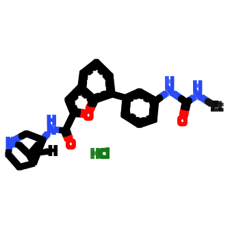 CCNC(=O)Nc1cccc(-c2cccc3cc(C(=O)N[C@H]4CN5CCC4CC5)oc23)c1.Cl